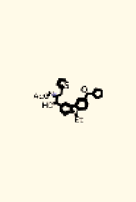 CCn1c2ccc(C(=O)C3CCCC3)cc2c2cc(C(O)/C(Cc3cccs3)=N\OC(C)=O)ccc21